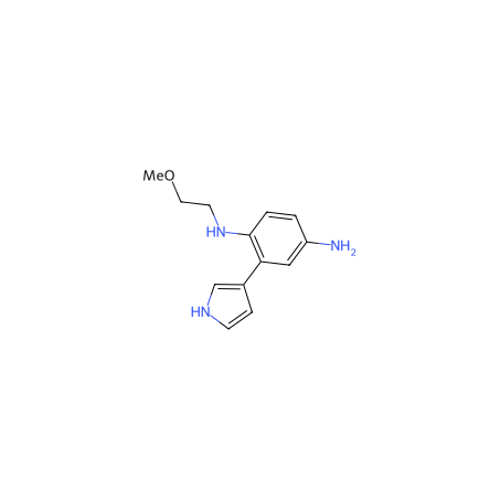 COCCNc1ccc(N)cc1-c1cc[nH]c1